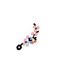 CCOC(=O)OC(C)OC(=O)[C@@H]1N2C(=O)C(NC(=O)OCc3ccccc3)[C@H]2S(=O)(=O)C1(C)C